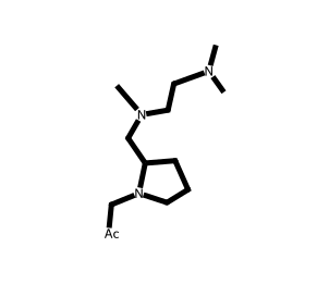 CC(=O)CN1CCCC1CN(C)CCN(C)C